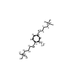 C[N+](C)(C)CCCSc1ccc(SCCC[N+](C)(C)C)cc1.[I-].[I-]